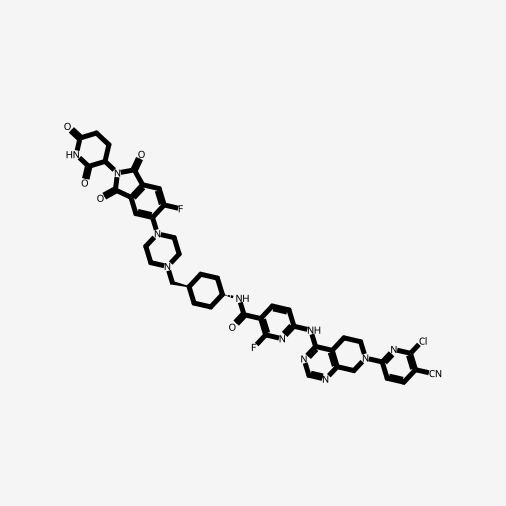 N#Cc1ccc(N2CCc3c(ncnc3Nc3ccc(C(=O)N[C@H]4CC[C@H](CN5CCN(c6cc7c(cc6F)C(=O)N(C6CCC(=O)NC6=O)C7=O)CC5)CC4)c(F)n3)C2)nc1Cl